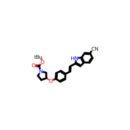 CC(C)(C)OC(=O)N1CC[C@H](Oc2ccc(/C=C/c3cc4ccc(C#N)cc4[nH]3)cc2)C1